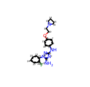 Nc1nc(Nc2ccc(OCCN3CCCC3)cc2)nn1-c1ccccc1F